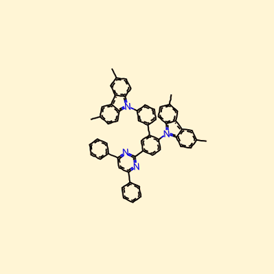 Cc1ccc2c(c1)c1cc(C)ccc1n2-c1cccc(-c2cc(-c3nc(-c4ccccc4)cc(-c4ccccc4)n3)ccc2-n2c3ccc(C)cc3c3cc(C)ccc32)c1